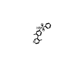 Cc1cc(NS(=O)(=O)c2ccccc2)ccc1-c1cnccc1C